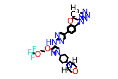 C[C@@H](Cn1cnnn1)Oc1cc(-c2cnc(Nc3cn(C4CCC(N5[C@@H]6CC[C@H]5COC6)CC4)nc3OCCOC(F)(F)F)nc2)ccc1C#N